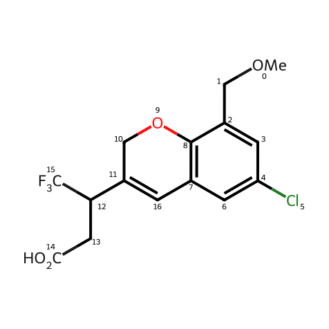 COCc1cc(Cl)cc2c1OCC(C(CC(=O)O)C(F)(F)F)=C2